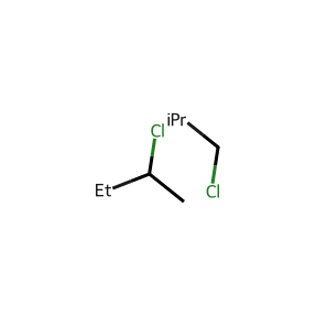 CC(C)CCl.CCC(C)Cl